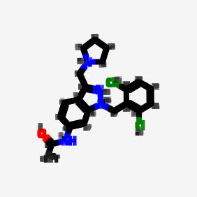 CCCC(=O)Nc1ccc2c(CN3CCCC3)nn(Cc3c(Cl)cccc3Cl)c2c1